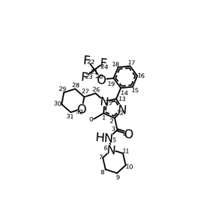 Cc1c(C(=O)NN2CCCCC2)nc(-c2ccccc2OC(F)(F)F)n1CC1CCCCO1